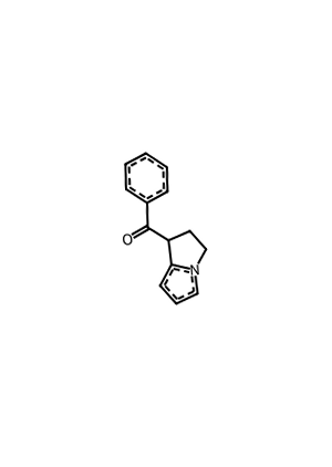 O=C(c1ccccc1)C1CCn2cccc21